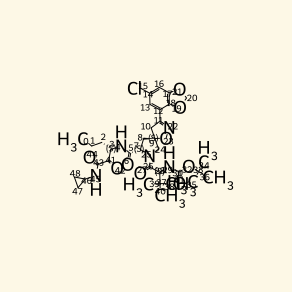 CCC[C@H](NC(=O)[C@@H]1C[C@]2(CC(c3cc(Cl)cc4c3OCO4)=NO2)CN1C(=O)[C@@H](NC(=O)OC(C)(C)C)C(C)(C)C)C(=O)C(=O)NC1CC1